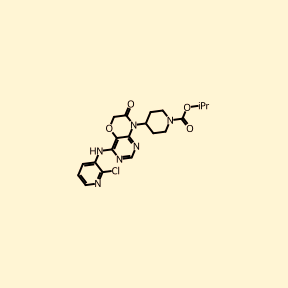 CC(C)OC(=O)N1CCC(N2C(=O)COc3c(Nc4cccnc4Cl)ncnc32)CC1